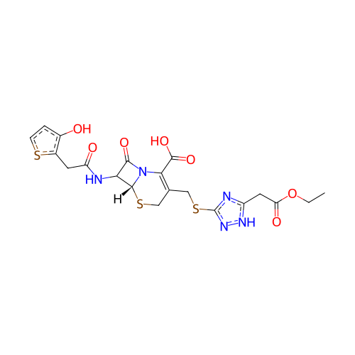 CCOC(=O)Cc1nc(SCC2=C(C(=O)O)N3C(=O)C(NC(=O)Cc4sccc4O)[C@H]3SC2)n[nH]1